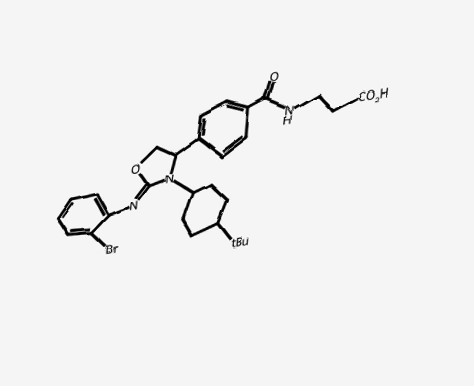 CC(C)(C)C1CCC(N2C(=Nc3ccccc3Br)OCC2c2ccc(C(=O)NCCC(=O)O)cc2)CC1